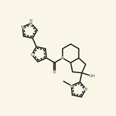 Cn1ccnc1C1(O)CC2CCCN(C(=O)c3csc(-c4cn[nH]c4)c3)C2C1